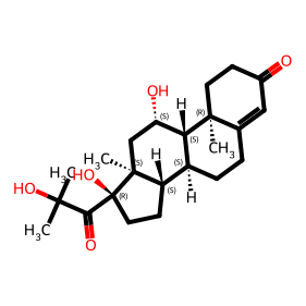 CC(C)(O)C(=O)[C@@]1(O)CC[C@H]2[C@@H]3CCC4=CC(=O)CC[C@]4(C)[C@H]3[C@@H](O)C[C@@]21C